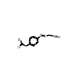 COCCOc1ccc(CC(=O)Cl)cc1